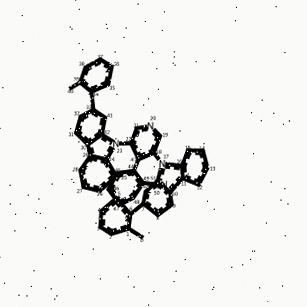 Cc1ccccc1-c1ccc2c3ccccc3n(-c3cncc(-n4c5ccccc5c5ccc(-c6ccccc6C)cc54)c3-c3ccccc3C#N)c2c1